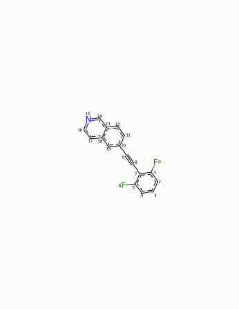 Fc1cccc(F)c1C#Cc1ccc2cnccc2c1